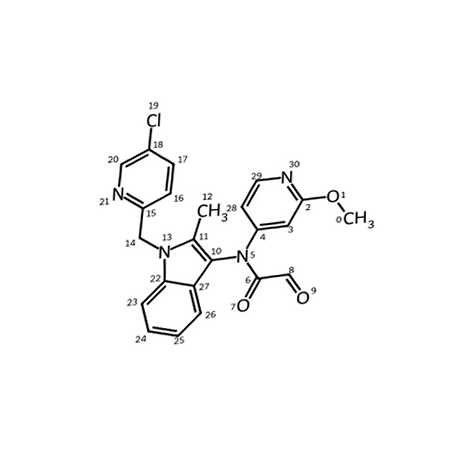 COc1cc(N(C(=O)C=O)c2c(C)n(Cc3ccc(Cl)cn3)c3ccccc23)ccn1